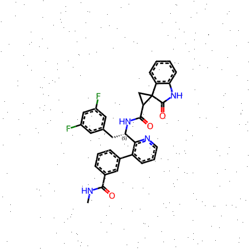 CNC(=O)c1cccc(-c2cccnc2[C@H](Cc2cc(F)cc(F)c2)NC(=O)C2CC23C(=O)Nc2ccccc23)c1